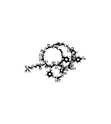 COc1ccc(C[C@@H]2NC(=O)[C@H]([C@@H](C)O)NC(=O)[C@@H]3[C@@H]4CCN3C(=O)[C@@H]3Cc5cn(c6ccc(F)cc56)CCCCCCN(Cc5ccc(cc5)CCNC(=O)[C@]5(C)CCCN5C2=O)C(=O)CCC(=O)N[C@@H](C)C(=O)N[C@H](CNC(=O)CCOCC[N+](C)(C)C)C(=O)N[C@@H](Cc2cccc(c2)CNC(=O)CO4)C(=O)N3)cc1